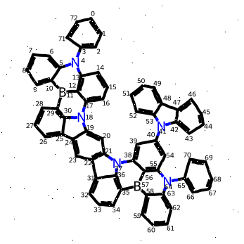 c1ccc(N2c3ccccc3B3c4c2cccc4-n2c4cc5c(cc4c4cccc3c42)c2cccc3c2n5-c2cc(-n4c5ccccc5c5ccccc54)cc4c2B3c2ccccc2N4c2ccccc2)cc1